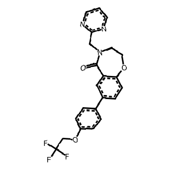 O=C1c2cc(-c3ccc(OCC(F)(F)F)cc3)ccc2OCCN1Cc1ncccn1